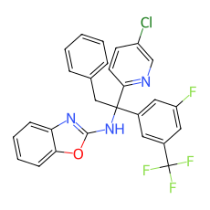 Fc1cc(C(F)(F)F)cc(C(Cc2ccccc2)(Nc2nc3ccccc3o2)c2ccc(Cl)cn2)c1